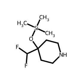 C[Si](C)(C)OC1(C(F)F)CCNCC1